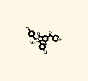 COC1(c2ccc(Cl)cc2)c2c(F)cc(C(=O)C3CCNCC3)cc2C(=O)N1Cc1ccc(Cl)cc1